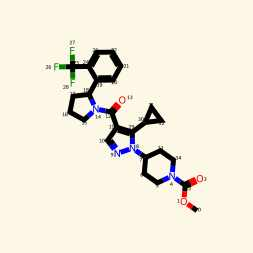 COC(=O)N1CCC(n2ncc(C(=O)N3CCCC3c3ccccc3C(F)(F)F)c2C2CC2)CC1